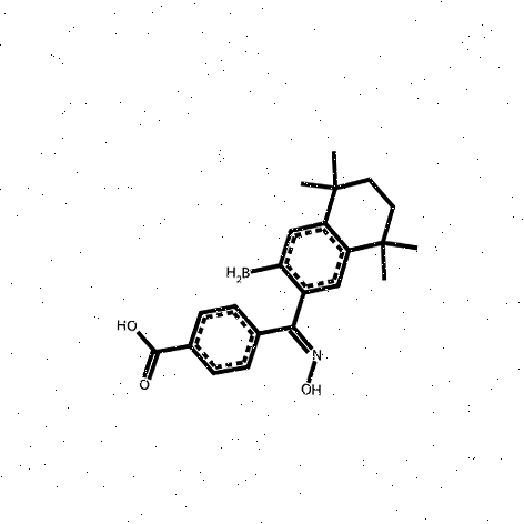 Bc1cc2c(cc1/C(=N/O)c1ccc(C(=O)O)cc1)C(C)(C)CCC2(C)C